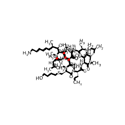 CCC[C@@H](C(=O)N[C@H](C(=O)N(C)[C@@H](CC(C)C)C(=O)N[C@H](C)C(=O)NC(C)C(=O)N(C)[C@@H](CC(C)C)C(=O)NC)C(C)C)N(C)C(=O)[C@@H](CSCCCCO)N(C)C(=O)[C@H](CC)NC(=O)C([C@H](O)[C@H](C)CCCCCCN)N(C)C(=O)CC(C)C